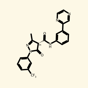 CC1=NN(c2cccc(C(F)(F)F)c2)C(=O)[C@H]1C(=O)Nc1cccc(-c2cnccn2)c1